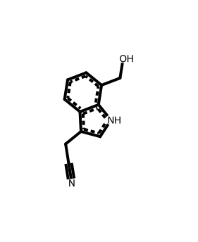 N#CCc1c[nH]c2c(CO)cccc12